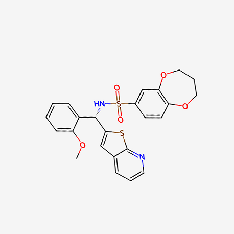 COc1ccccc1[C@H](NS(=O)(=O)c1ccc2c(c1)OCCCO2)c1cc2cccnc2s1